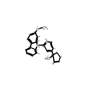 COc1ccc2c3ccccc3n(-c3cc(C4(O)CCCC4)ccn3)c2c1